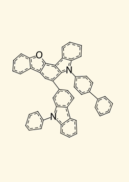 c1ccc(-c2ccc(-n3c4ccccc4c4c5oc6ccccc6c5cc(-c5ccc6c7ccccc7n(-c7ccccc7)c6c5)c43)cc2)cc1